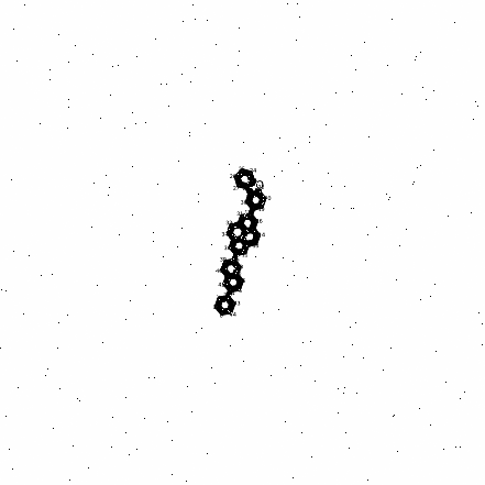 c1ccc(-c2ccc3cc(-c4cc5ccc6cc(-c7ccc8oc9ccccc9c8c7)cc7ccc(c4)c5c67)ccc3c2)cc1